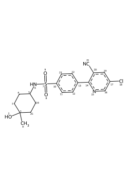 CC1(O)CCC(NS(=O)(=O)c2ccc(-c3ncc(Cl)cc3C#N)cc2)CC1